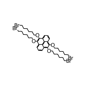 BrCCCCCCOc1c(OCCCCCCBr)c2cccc3c(OCCCCCCBr)c(OCCCCCCBr)c4cccc1c4c23